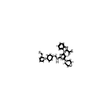 FC[C@@H]1CCCN1[C@H]1CC[C@H](CNc2nc(N3CCOCC3)cc(-n3c(C(F)F)nc4ccccc43)n2)CC1